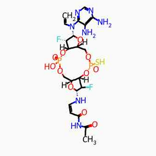 C=CN(c1ncnc(N)c1N)[C@@H]1O[C@@H]2COP(=O)(S)O[C@@H]3C(F)[C@H](N/C=C\C(=O)NC(C)=O)O[C@@H]3COP(=O)(O)O[C@@H]2[C@@H]1F